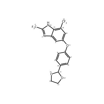 FC(F)(F)c1nc2cc(Oc3ccc(C4OCCO4)cc3)cc(C(F)(F)F)c2[nH]1